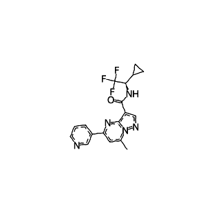 Cc1cc(-c2cccnc2)nc2c(C(=O)N[C@H](C3CC3)C(F)(F)F)cnn12